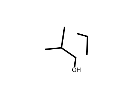 CC(C)CO.CCC